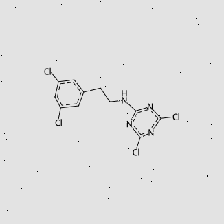 Clc1cc(Cl)cc(CCNc2nc(Cl)nc(Cl)n2)c1